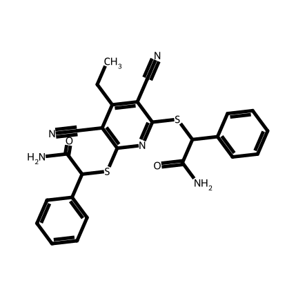 CCc1c(C#N)c(SC(C(N)=O)c2ccccc2)nc(SC(C(N)=O)c2ccccc2)c1C#N